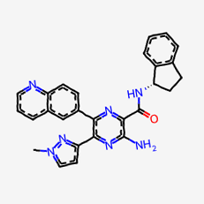 Cn1ccc(-c2nc(N)c(C(=O)N[C@H]3CCc4ccccc43)nc2-c2ccc3ncccc3c2)n1